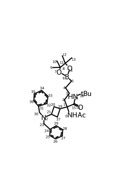 CC(=O)NC(CCCCB1OC(C)(C)C(C)(C)O1)(C(=O)NC(C)(C)C)C1CC(N(Cc2ccccc2)Cc2ccccc2)C1